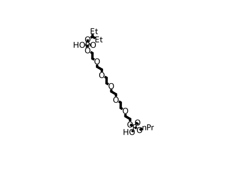 CCCOP(=O)(O)OCCOCCOCCOCCOCCOCCOP(=O)(O)OC(CC)CC